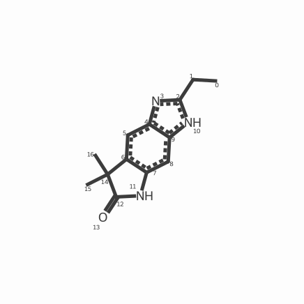 CCc1nc2cc3c(cc2[nH]1)NC(=O)C3(C)C